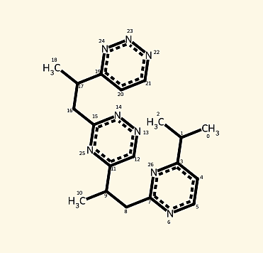 CC(C)c1ccnc(CC(C)c2cnnc(CC(C)c3ccnnn3)n2)n1